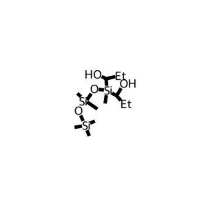 CCC(O)[Si](C)(O[Si](C)(C)O[Si](C)(C)C)C(O)CC